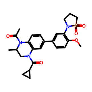 COc1ccc(-c2ccc3c(c2)N(C(=O)C2CC2)CC(C)N3C(C)=O)cc1N1CCCS1(=O)=O